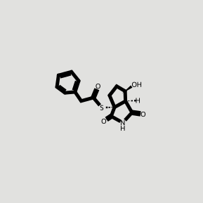 O=C(Cc1ccccc1)S[C@]12CC[C@@H](O)[C@H]1C(=O)NC2=O